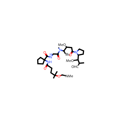 CCC(C)C(C(CC(=O)N1CCCC1C(OC)C(C)C=O)OC)N(C)C(=O)CNC(=O)C1(NC(=O)CCC(C)(C)OCNC)CCCC1